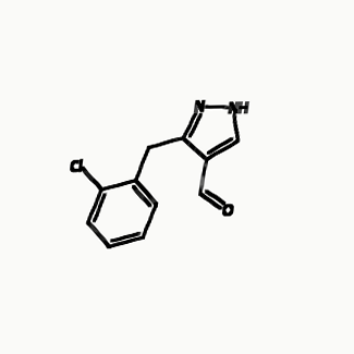 O=Cc1c[nH]nc1Cc1ccccc1Cl